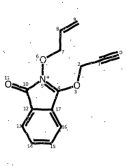 C#CCOC1=[N+](OCC=C)C(=O)c2ccccc21